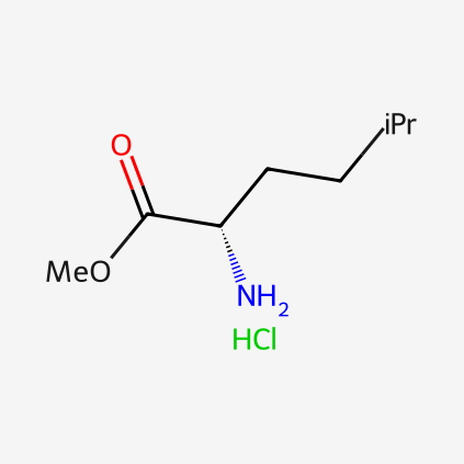 COC(=O)[C@@H](N)CCC(C)C.Cl